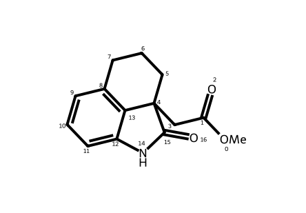 COC(=O)CC12CCCc3cccc(c31)NC2=O